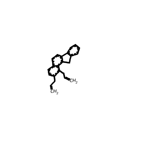 C=CCc1ccc2ccc3c(c2c1CC=C)Cc1ccccc1-3